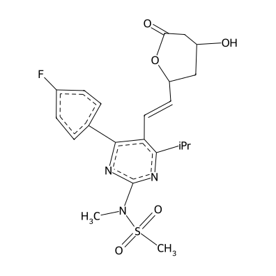 CC(C)c1nc(N(C)S(C)(=O)=O)nc(-c2ccc(F)cc2)c1C=CC1CC(O)CC(=O)O1